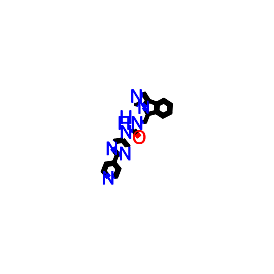 O=C(NCC1c2ccccc2-c2cncn21)Nc1cnc(-c2ccncc2)nc1